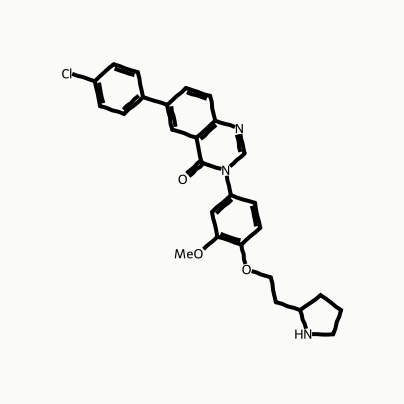 COc1cc(-n2cnc3ccc(-c4ccc(Cl)cc4)cc3c2=O)ccc1OCCC1CCCN1